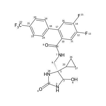 O=C1NC(O)[C@](CNC(=O)c2cc(F)c(F)cc2-c2ccc(C(F)(F)F)cc2)(C2CC2)N1